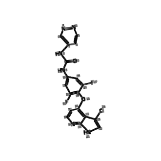 O=C(Nc1ccnnc1)Nc1cc(F)c(Oc2ccnc3[nH]cc(Cl)c23)c(F)c1